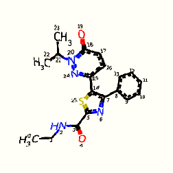 CCNC(=O)c1nc(-c2ccccc2)c(-c2ccc(=O)n(C(C)C)n2)s1